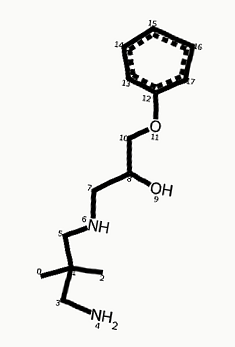 CC(C)(CN)CNCC(O)COc1ccccc1